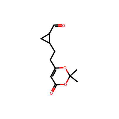 CC1(C)OC(=O)C=C(CCC2CC2C=O)O1